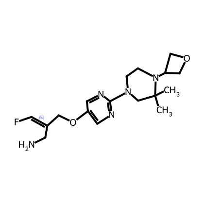 CC1(C)CN(c2ncc(OC/C(=C/F)CN)cn2)CCN1C1COC1